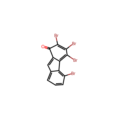 O=C1C2=Cc3cccc(Br)c3C2=C(Br)C(Br)=C1Br